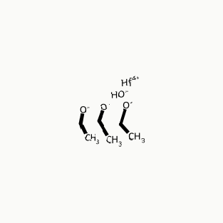 CC[O-].CC[O-].CC[O-].[Hf+4].[OH-]